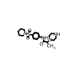 C[C@@H](C(=O)Nc1ccc(S(=O)(=O)N2CCCCC2)cc1)N1CCNCC1